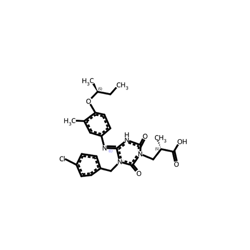 CC[C@H](C)Oc1ccc(/N=c2\[nH]c(=O)n(C[C@H](C)C(=O)O)c(=O)n2Cc2ccc(Cl)cc2)cc1C